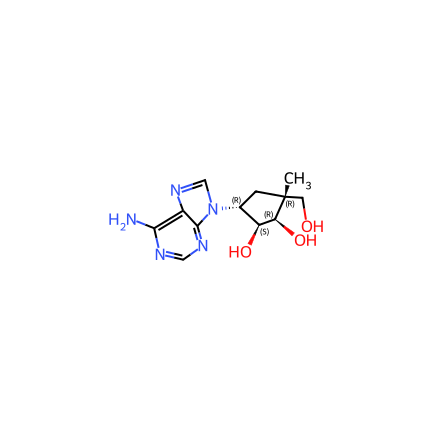 C[C@]1(CO)C[C@@H](n2cnc3c(N)ncnc32)[C@H](O)[C@@H]1O